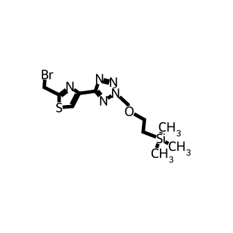 C[Si](C)(C)CCOCn1nnc(-c2csc(CBr)n2)n1